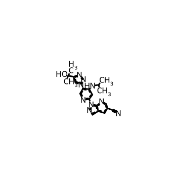 CC(C)Nc1cc(-n2ncc3cc(C#N)cnc32)ncc1-n1cc(C(C)(C)O)nn1